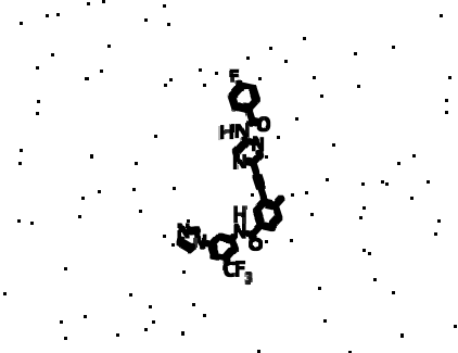 Cc1ccc(C(=O)Nc2cc(-n3ccnc3)cc(C(F)(F)F)c2)cc1C#Cc1cnc(NC(=O)c2ccc(F)cc2)cn1